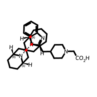 O=C(O)CN1CCC(Cc2nc3ccccc3n2[C@H]2C[C@H]3CCC[C@@H](C2)N3[C@@H]2C[C@@H]3CCCC[C@@H](C3)C2)CC1